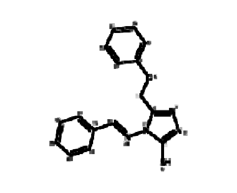 Sc1nnc(COc2ccccc2)n1N=Cc1ccccc1